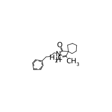 C=C(C)C1(C(=O)NCCCc2ccccc2)CCCCC1